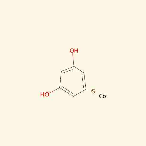 Oc1cccc(O)c1.[Co].[S]